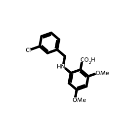 COc1cc(NCc2cccc(Cl)c2)c(C(=O)O)c(OC)c1